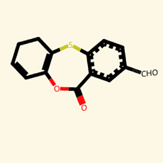 O=Cc1ccc2c(c1)C(=O)OC1=C(CCC=C1)S2